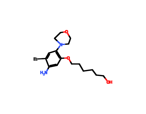 CCc1cc(N2CCOCC2)c(OCCCCCCO)cc1N